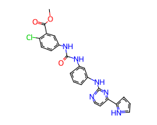 COC(=O)c1cc(NC(=O)Nc2cccc(Nc3nccc(-c4ccc[nH]4)n3)c2)ccc1Cl